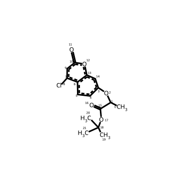 CC(Oc1ccc2c(Cl)cc(=O)oc2c1)C(=O)OC(C)(C)C